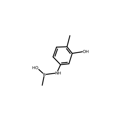 CB(O)Nc1ccc(C)c(O)c1